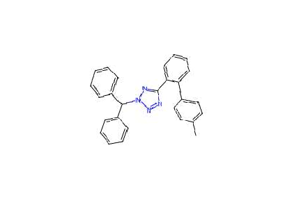 Cc1ccc(-c2ccccc2-c2nnn(C(c3ccccc3)c3ccccc3)n2)cc1